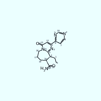 CC[C]1c2nc(-c3ccncn3)cc(=O)n2CCCC1C(N)=O